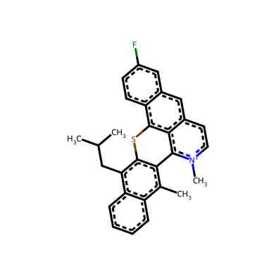 Cc1c2c(c(CC(C)C)c3ccccc13)Sc1c3ccc(F)cc3cc3cc[n+](C)c-2c13